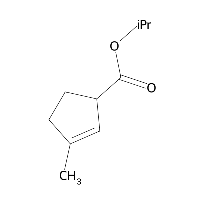 CC1=CC(C(=O)OC(C)C)CC1